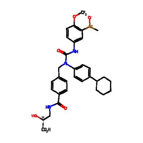 C[S+]([O-])c1cc(NC(=O)N(Cc2ccc(C(=O)NC[C@@H](O)C(=O)O)cc2)c2ccc(C3CCCCC3)cc2)ccc1OC(F)(F)F